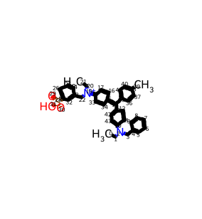 CCN(Cc1ccccc1)c1ccc(C(=C2C=CC(=[N+](CC)Cc3cccc(S(=O)(=O)O)c3)C=C2)c2ccc(C)cc2)cc1